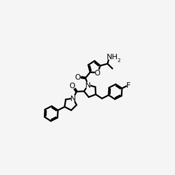 CC(N)c1ccc(C(=O)N2CC(Cc3ccc(F)cc3)CC2C(=O)N2CCC(c3ccccc3)C2)o1